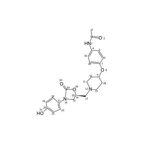 CC(=O)Nc1ccc(OC2CCN(C[C@H]3CN(c4ccc(O)cc4)C(=O)O3)CC2)cc1